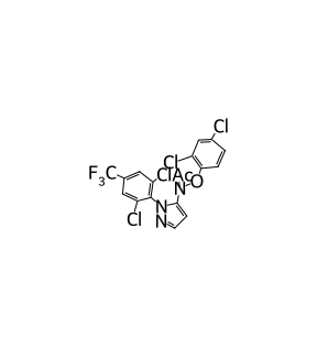 CC(=O)N(Oc1ccc(Cl)cc1Cl)c1ccnn1-c1c(Cl)cc(C(F)(F)F)cc1Cl